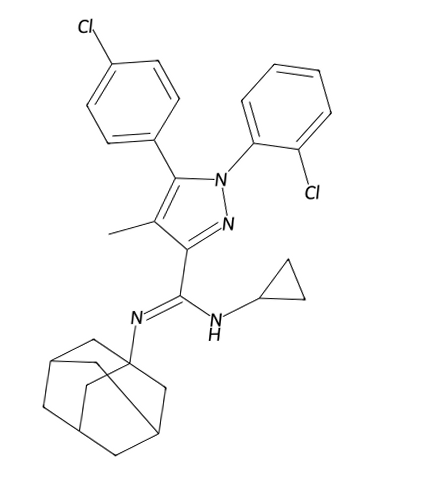 Cc1c(C(=NC23CC4CC(CC(C4)C2)C3)NC2CC2)nn(-c2ccccc2Cl)c1-c1ccc(Cl)cc1